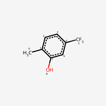 [CH2]c1ccc(C(F)(F)F)cc1O